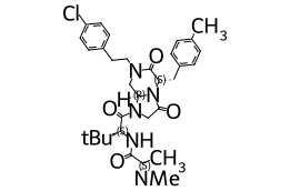 CN[C@@H](C)C(=O)N[C@H](C(=O)N1CC(=O)N2[C@@H]1CN(CCc1ccc(Cl)cc1)C(=O)[C@@H]2Cc1ccc(C)cc1)C(C)(C)C